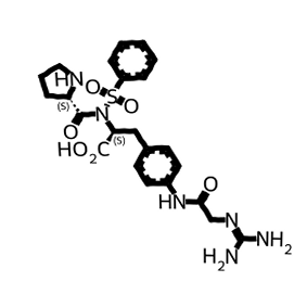 NC(N)=NCC(=O)Nc1ccc(C[C@@H](C(=O)O)N(C(=O)[C@@H]2CCCN2)S(=O)(=O)c2ccccc2)cc1